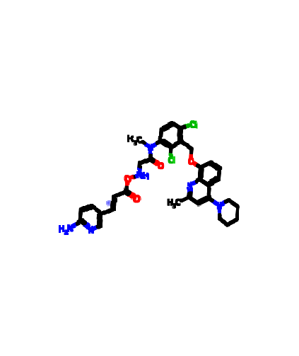 Cc1cc(N2CCCCC2)c2cccc(OCc3c(Cl)ccc(N(C)C(=O)CNOC(=O)/C=C/c4ccc(N)nc4)c3Cl)c2n1